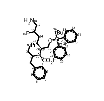 CC(C)CC(Cc1ccccc1)N(C(=O)O)[C@@H](CCC(F)CN)CO[Si](c1ccccc1)(c1ccccc1)C(C)(C)C